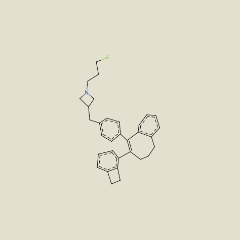 FCCCN1CC(Cc2ccc(C3=C(c4cccc5c4CC5)CCCc4ccccc43)cc2)C1